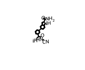 CC(C)CC(C(=O)NCC#N)c1cccc(-c2ccc3[nH]c(C(N)=O)cc3c2)c1